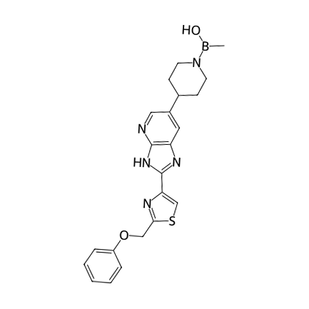 CB(O)N1CCC(c2cnc3[nH]c(-c4csc(COc5ccccc5)n4)nc3c2)CC1